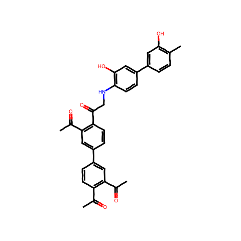 CC(=O)c1ccc(-c2ccc(C(=O)CNc3ccc(-c4ccc(C)c(O)c4)cc3O)c(C(C)=O)c2)cc1C(C)=O